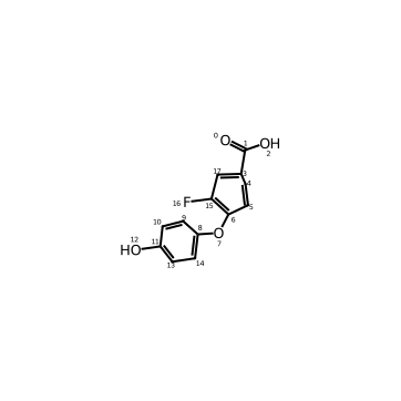 O=C(O)c1ccc(Oc2ccc(O)cc2)c(F)c1